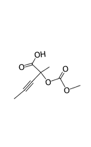 CC#CC(C)(OC(=O)OC)C(=O)O